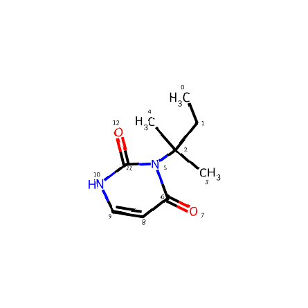 CCC(C)(C)n1c(=O)cc[nH]c1=O